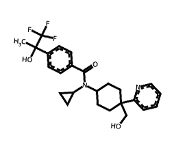 CC(O)(c1ccc(C(=O)N(C2CC2)C2CCC(CO)(c3ccccn3)CC2)cc1)C(F)(F)F